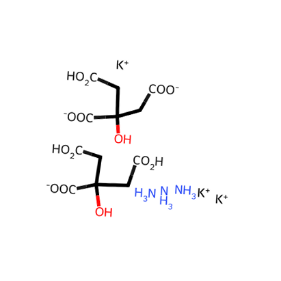 N.N.N.O=C(O)CC(O)(CC(=O)O)C(=O)[O-].O=C([O-])CC(O)(CC(=O)O)C(=O)[O-].[K+].[K+].[K+]